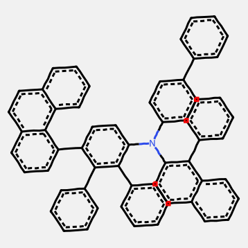 c1ccc(-c2ccc(N(c3ccc(-c4cccc5ccc6ccccc6c45)c(-c4ccccc4)c3-c3ccccc3)c3ccc4ccccc4c3-c3ccccc3)cc2)cc1